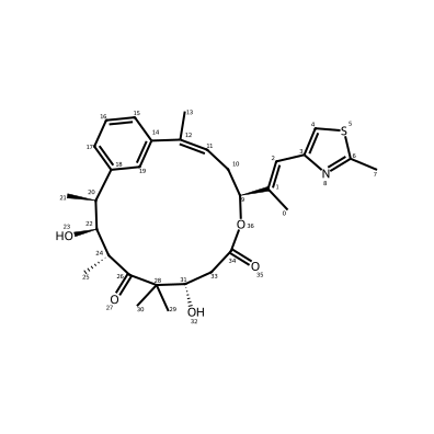 CC(=Cc1csc(C)n1)[C@@H]1C/C=C(/C)c2cccc(c2)[C@H](C)[C@H](O)[C@@H](C)C(=O)C(C)(C)[C@@H](O)CC(=O)O1